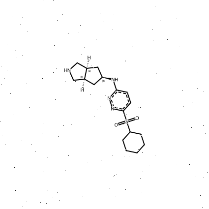 O=S(=O)(c1ccc(N[C@H]2C[C@H]3CNC[C@H]3C2)nn1)C1CCCCC1